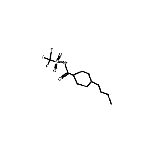 CCCCC1CCC(C(=O)NS(=O)(=O)C(F)(F)F)CC1